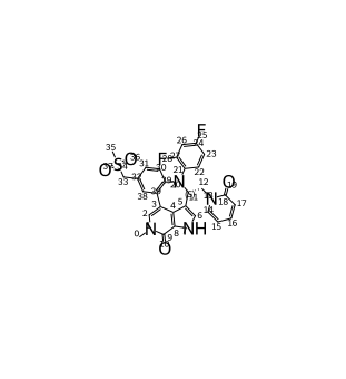 Cn1cc2c3c(c[nH]c3c1=O)[C@@H](Cn1ccccc1=O)N(c1ccc(F)cc1F)c1ccc(CS(C)(=O)=O)cc1-2